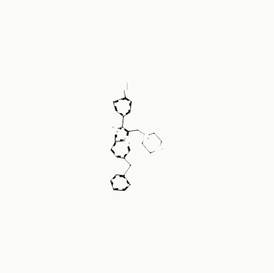 Clc1ccc(-c2nc3ccc(Cc4ccccc4)cn3c2CN2CCOCC2)cc1